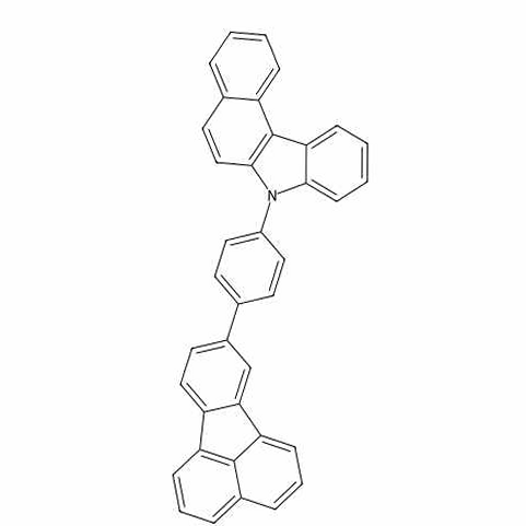 c1cc2c3c(cccc3c1)-c1cc(-c3ccc(-n4c5ccccc5c5c6ccccc6ccc54)cc3)ccc1-2